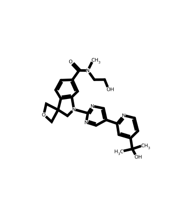 CN(CCO)C(=O)c1ccc2c(c1)N(c1ncc(-c3cc(C(C)(C)O)ccn3)cn1)CC21COC1